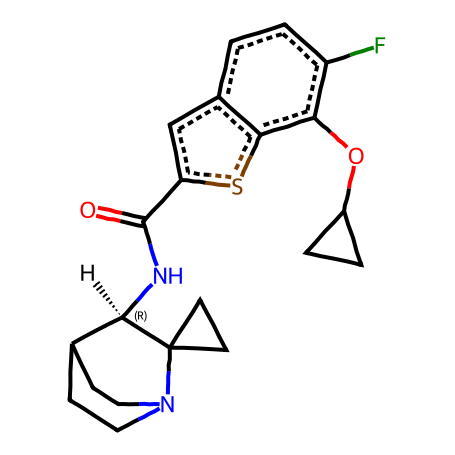 O=C(N[C@@H]1C2CCN(CC2)C12CC2)c1cc2ccc(F)c(OC3CC3)c2s1